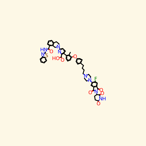 Cc1c(Oc2ccc(CCCCN3CCN(c4cc5c(cc4F)C(=O)N(C4CCC(=O)NC4=O)C5=O)CC3)cc2)cccc1-c1ccc(N2CCc3cccc(C(=O)Nc4nc5ccccc5s4)c3C2)nc1C(=O)O